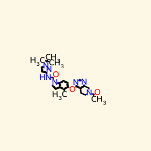 CC(=O)N1CCc2c(ncnc2Oc2ccc3c(ccn3C(=O)Nc3ccn(C(C)(C)C)n3)c2C)C1